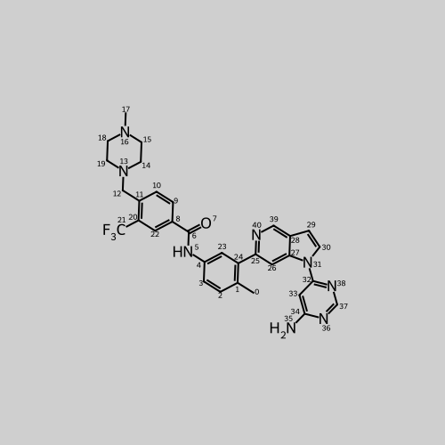 Cc1ccc(NC(=O)c2ccc(CN3CCN(C)CC3)c(C(F)(F)F)c2)cc1-c1cc2c(ccn2-c2cc(N)ncn2)cn1